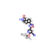 CC(C)Oc1ncc(-c2nc(-c3cccc4c3CCC43CNC(=O)C3)no2)cc1C#N